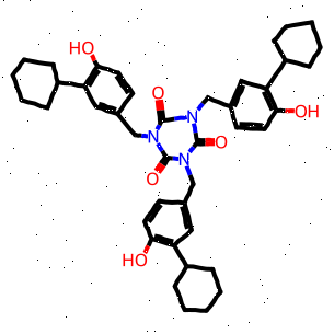 O=c1n(Cc2ccc(O)c(C3CCCCC3)c2)c(=O)n(Cc2ccc(O)c(C3CCCCC3)c2)c(=O)n1Cc1ccc(O)c(C2CCCCC2)c1